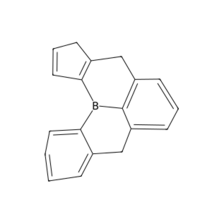 C1=CC2=C(C1)Cc1cccc3c1B2c1ccccc1C3